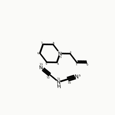 C=CCN1CCCCC1.N#CNC#N